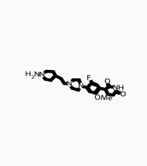 COc1cc(N2CCN(CCC3CCN(N)CC3)CC2)c(F)cc1C1CCC(=O)NC1=O